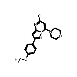 COc1ccc(-c2cc3nc(Cl)cc(N4CCOCC4)n3n2)cc1